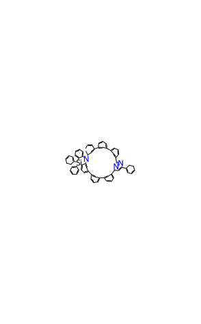 C/C=C\C1=C/C(C)N2c3ccccc3[Si](C3=CC=CCC3)(c3ccccc3)c3ccc(cc32)-c2cccc(c2)-c2cccc(c2)-c2cc(C3=CC=CCC3)nc(n2)-c2cccc(c2)-c2cccc1c2